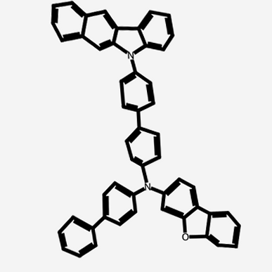 c1ccc(-c2ccc(N(c3ccc(-c4ccc(-n5c6ccccc6c6cc7ccccc7cc65)cc4)cc3)c3ccc4c(c3)oc3ccccc34)cc2)cc1